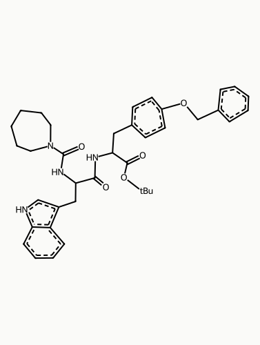 CC(C)(C)OC(=O)C(Cc1ccc(OCc2ccccc2)cc1)NC(=O)C(Cc1c[nH]c2ccccc12)NC(=O)N1CCCCCC1